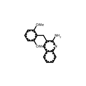 COc1cccc(OC)c1Cc1cc2ccccc2nc1N